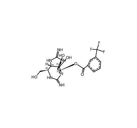 N=C1N[C@H]2[C@H](CO)NC(=N)N3C[C@H](OC(=O)c4cccc(C(F)(F)F)c4)C(O)(O)[C@]23N1